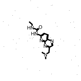 CCNC(=O)Nc1ccc2ncc(CN(C)C)nc2n1